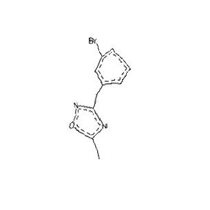 Cc1nc(-c2cccc(Br)c2)no1